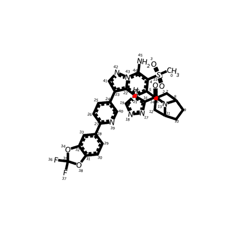 CS(=O)(=O)c1c(C2CC3CCC(C2)N3C(=O)c2nnc[nH]2)nc2c(-c3ccc(-c4ccc5c(c4)OC(F)(F)O5)nc3)cnn2c1N